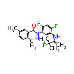 C=C(Nc1cc(NC(=O)c2cc(C)ccc2C)c(F)cc1F)C(C)(C)F